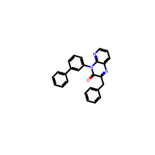 O=c1c(Cc2ccccc2)nc2cccnc2n1-c1cccc(-c2ccccc2)c1